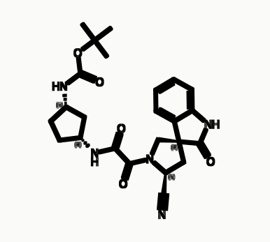 CC(C)(C)OC(=O)N[C@H]1CC[C@@H](NC(=O)C(=O)N2C[C@]3(C[C@H]2C#N)C(=O)Nc2ccccc23)C1